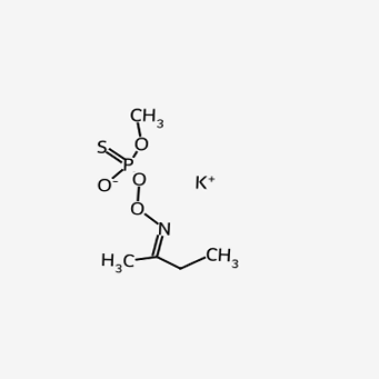 CCC(C)=NOOP([O-])(=S)OC.[K+]